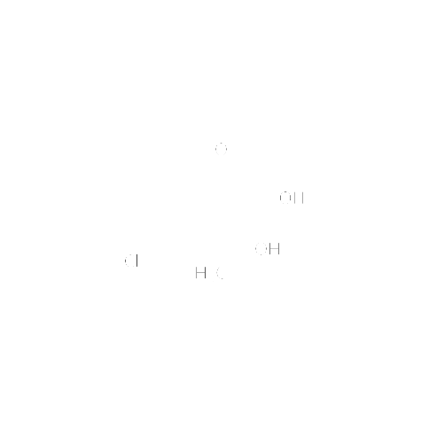 CO.O=C(O)C=CCl